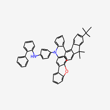 CC(C)(C)c1ccc2c(c1)C(C)(C)c1cccc(-c3ccccc3N(c3ccc(Nc4ccccc4-c4ccccc4)cc3)c3ccc4oc5ccccc5c4c3)c1-2